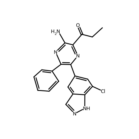 CCC(=O)c1nc(-c2cc(Cl)c3[nH]ncc3c2)c(-c2ccccc2)nc1N